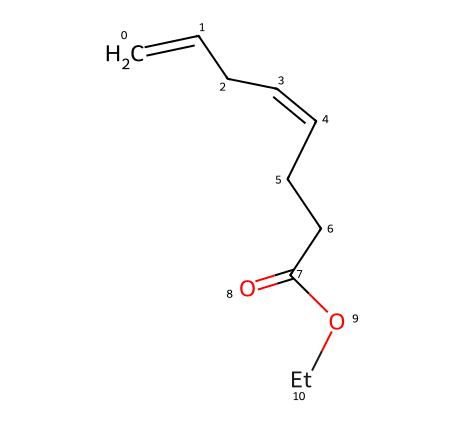 C=CC/C=C\CCC(=O)OCC